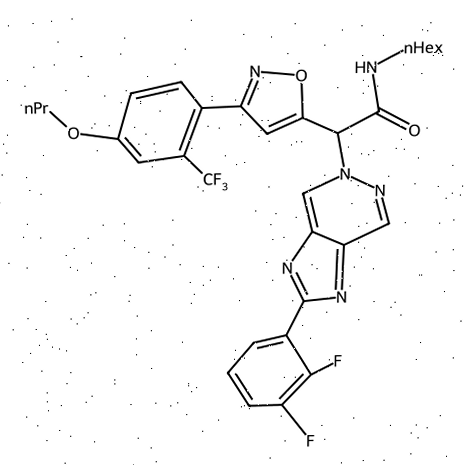 CCCCCCNC(=O)C(c1cc(-c2ccc(OCCC)cc2C(F)(F)F)no1)n1cc2nc(-c3cccc(F)c3F)nc-2cn1